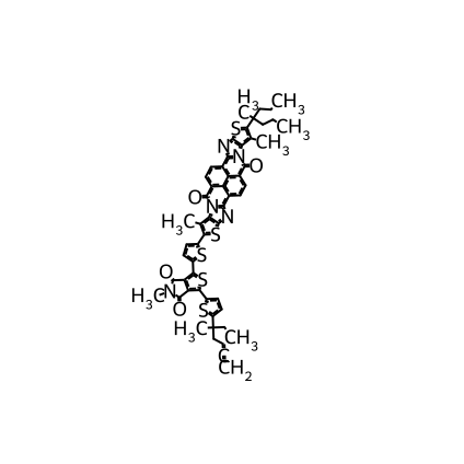 C=C=CCC(C)(CC)c1ccc(-c2sc(-c3ccc(-c4sc5nc6c7ccc8c(=O)n9c(nc%10sc(C(C)(CCC)CCC)c(C)c%109)c9ccc(c(=O)n6c5c4C)c7c89)s3)c3c2C(=O)N(C)C3=O)s1